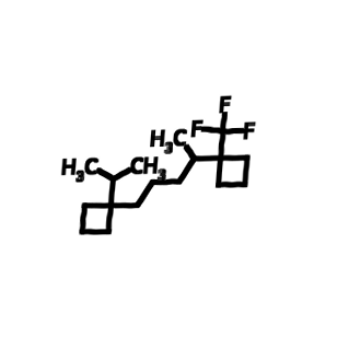 CC(C)C1(CCCC(C)C2(C(F)(F)F)CCC2)CCC1